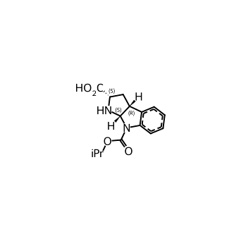 CC(C)OC(=O)N1c2ccccc2[C@H]2C[C@@H](C(=O)O)N[C@H]21